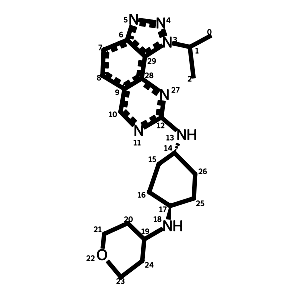 CC(C)n1nnc2ccc3cnc(N[C@H]4CC[C@H](NC5CCOCC5)CC4)nc3c21